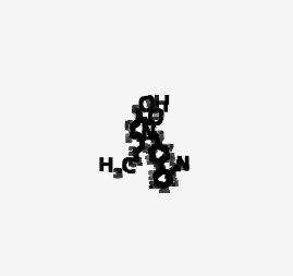 CCCCc1ccc(CO)c(=O)n1Cc1ccc(-c2ccccc2C#N)cc1